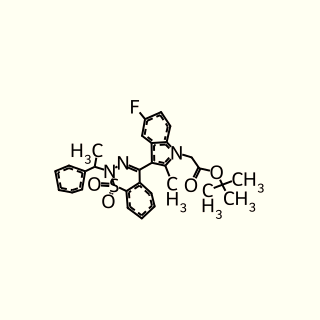 Cc1c(C2=NN(C(C)c3ccccc3)S(=O)(=O)c3ccccc32)c2cc(F)ccc2n1CC(=O)OC(C)(C)C